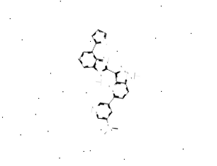 CN(C)c1cncc(-c2ccc3[nH]nc(-c4nc5c(-c6cccs6)cccc5[nH]4)c3n2)c1